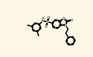 Cc1cc(C)cc(NS(=O)(=O)c2ccc3c(c2)oc(=O)n3CCc2ccccc2)c1